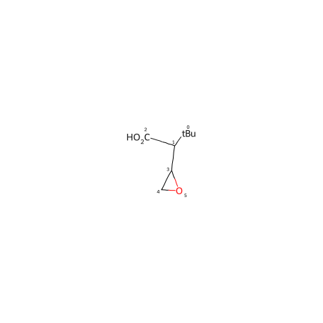 CC(C)(C)C(C(=O)O)C1CO1